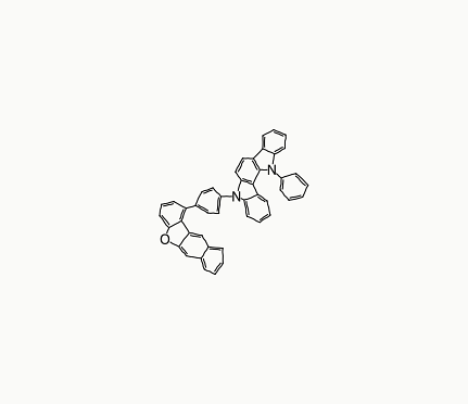 c1ccc(-n2c3ccccc3c3ccc4c(c5ccccc5n4-c4ccc(-c5cccc6oc7cc8ccccc8cc7c56)cc4)c32)cc1